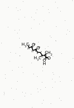 C=C(C(=O)O)C(C)CCC(=O)CC(=O)CC